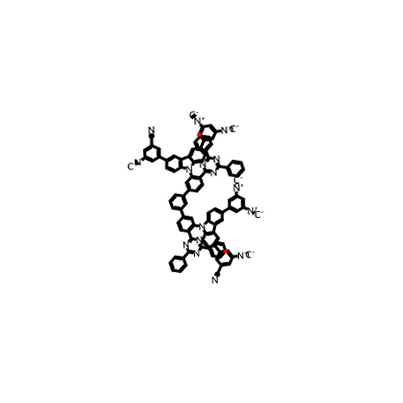 [C-]#[N+]c1cc(C#N)cc(-c2ccc3c(c2)c2cc(-c4cc([N+]#[C-])cc([N+]#[C-])c4)ccc2n3-c2cc(-c3cccc(-c4ccc(-c5nc(-c6ccccc6)nc(-c6ccccc6)n5)c(-n5c6ccc(-c7cc(C#N)cc([N+]#[C-])c7)cc6c6cc(-c7cc([N+]#[C-])cc([N+]#[C-])c7)ccc65)c4)c3)ccc2-c2nc(-c3ccccc3)nc(-c3ccccc3)n2)c1